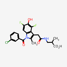 Cc1c(CC(=O)NCC(C)C(=O)O)c2c(F)c(O)c(F)cc2n1C(=O)c1cccc(Cl)c1